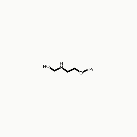 CCCOCCNCO